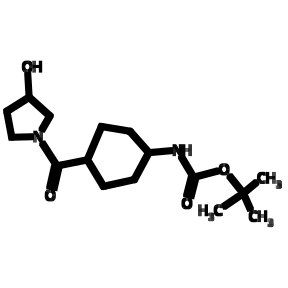 CC(C)(C)OC(=O)NC1CCC(C(=O)N2CCC(O)C2)CC1